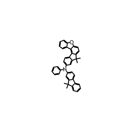 CC1(C)c2ccccc2-c2ccc(N(c3ccccc3)c3ccc4c(c3)C(C)(C)c3ccc5oc6ccccc6c5c3-4)cc21